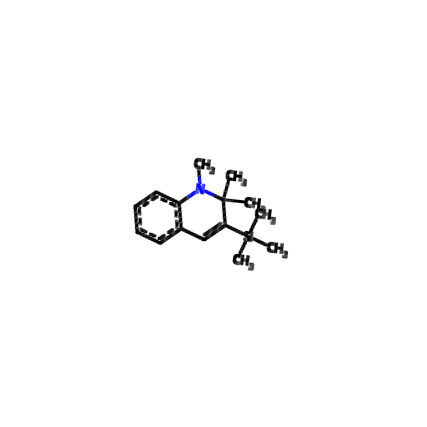 CN1c2ccccc2C=C([Si](C)(C)C)C1(C)C